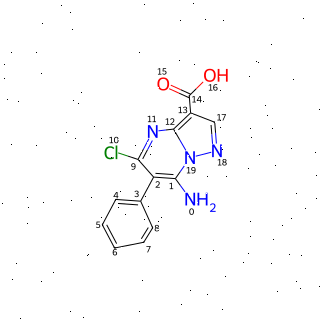 Nc1c(-c2ccccc2)c(Cl)nc2c(C(=O)O)cnn12